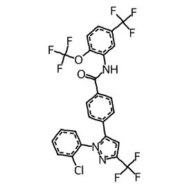 O=C(Nc1cc(C(F)(F)F)ccc1OC(F)(F)F)c1ccc(-c2cc(C(F)(F)F)nn2-c2ccccc2Cl)cc1